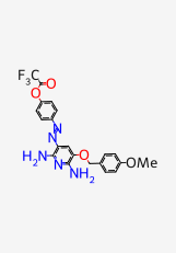 COc1ccc(COc2cc(N=Nc3ccc(OC(=O)C(F)(F)F)cc3)c(N)nc2N)cc1